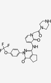 O=C(Cn1cccc(Nc2nn(-c3ccc(OC(F)(F)F)cc3)c(=O)c3c2CCC3)c1=O)N1CCNCC1